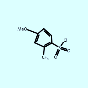 COc1ccc(S(=O)(=O)Cl)c(C(F)(F)F)c1